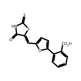 O=C1NC(=S)S/C1=C\c1ccc(-c2ccccc2C(=O)O)o1